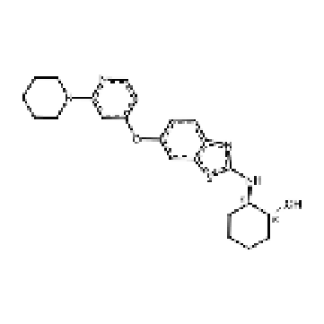 O[C@@H]1CCCC[C@H]1Nc1nc2ccc(Oc3ccnc(N4CCCCC4)c3)cc2s1